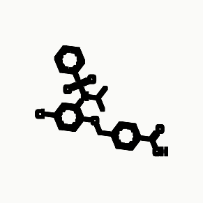 CC(C)N(c1cc(Cl)ccc1OCc1ccc(C(=O)O)cc1)S(=O)(=O)c1ccccc1